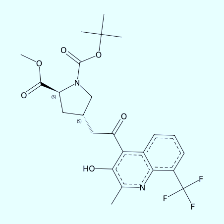 COC(=O)[C@@H]1C[C@@H](CC(=O)c2c(O)c(C)nc3c(C(F)(F)F)cccc23)CN1C(=O)OC(C)(C)C